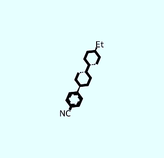 CC[C@H]1CC[C@H]([C@H]2CC[C@H](c3ccc(C#N)cc3)CC2)CC1